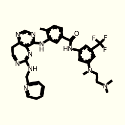 Cc1ccc(C(=O)Nc2cc(N(C)CCN(C)C)cc(C(F)(F)F)c2)cc1Nc1ncnc2c1N=C(NCC1=CC=CCC=N1)N=CC2